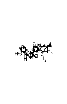 CC(C)n1c(CNC2CC2)nc2c(F)cc(-c3nc(N[C@@H]4CCOC[C@H]4O)ncc3Cl)cc21